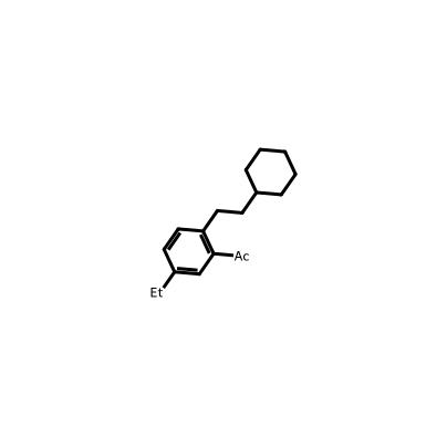 CCc1ccc(CCC2CCCCC2)c(C(C)=O)c1